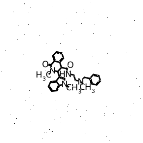 CN(CCNC(=O)C1c2ccccc2C(=O)N(C)C1c1cn(C)c2ccccc12)Cc1ccccc1